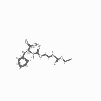 CCOC(=O)NCCOC(=O)N[C@@H](Cc1ccccc1)C(=O)O